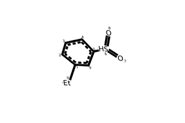 C[CH]c1cccc([SH](=O)=O)c1